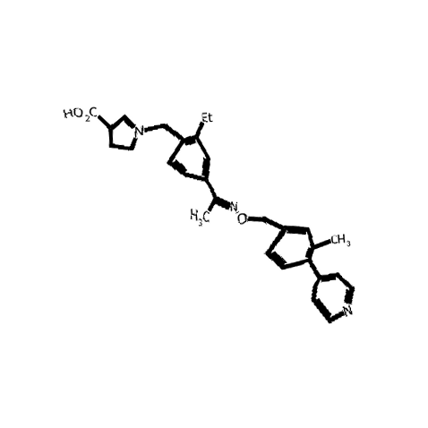 CCc1cc(C(C)=NOCc2ccc(-c3ccncc3)c(C)c2)ccc1CN1CCC(C(=O)O)C1